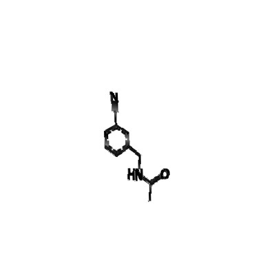 CC(=O)NCc1cccc(C#N)c1